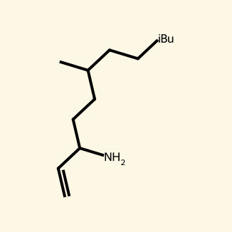 C=CC(N)CCC(C)CCC(C)CC